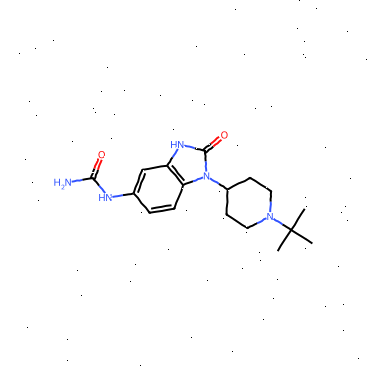 CC(C)(C)N1CCC(n2c(=O)[nH]c3cc(NC(N)=O)ccc32)CC1